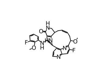 COc1c(F)cccc1Nc1c2[nH]c3c1C(=O)NCC3C/C=C\CC(OC)c1nc3c-2ccnc3cc1F